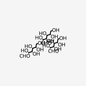 O=C[C@@H](O)[C@@H](O)[C@H](O)[C@H](O)CO.O=C[C@H](O)[C@@H](O)[C@@H](O)[C@H](O)CO.O=C[C@H](O)[C@@H](O)[C@H](O)[C@H](O)CO